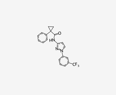 O=C(Nc1ccn(-c2cccc(C(F)(F)F)c2)n1)C1(c2ccccc2)CC1